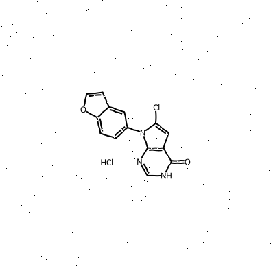 Cl.O=c1[nH]cnc2c1cc(Cl)n2-c1ccc2occc2c1